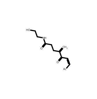 C=C(CCC(=O)NCCO)C(=O)/C=C\C(C)=O